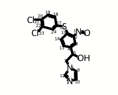 O=Nc1cc(C(O)Cn2ccnc2)ccc1Sc1ccc(Cl)c(Cl)c1